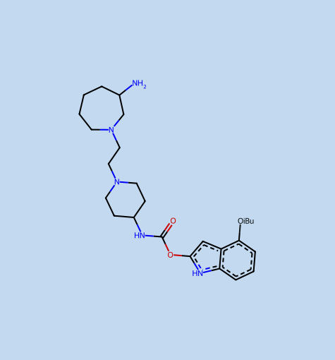 CC(C)COc1cccc2[nH]c(OC(=O)NC3CCN(CCN4CCCCC(N)C4)CC3)cc12